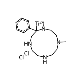 CN1CCNCCNC[C]([Ti+2])(c2ccccc2)N(C)CC1.[Cl-].[Cl-]